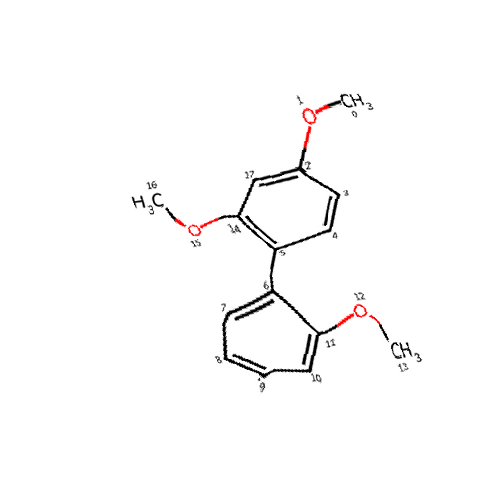 COc1ccc(-c2cc[c]cc2OC)c(OC)c1